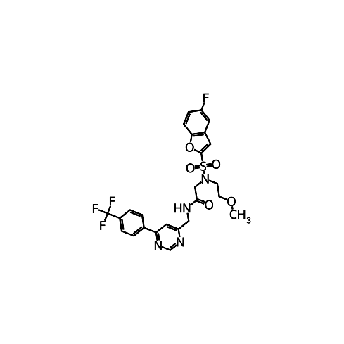 COCCN(CC(=O)NCc1cc(-c2ccc(C(F)(F)F)cc2)ncn1)S(=O)(=O)c1cc2cc(F)ccc2o1